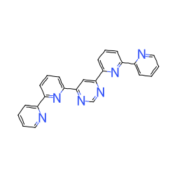 c1ccc(-c2cccc(-c3cc(-c4cccc(-c5ccccn5)n4)ncn3)n2)nc1